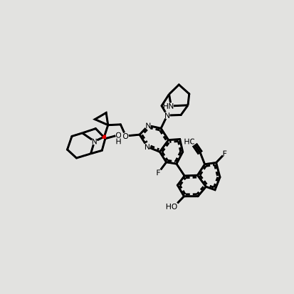 C#Cc1c(F)ccc2cc(O)cc(-c3ccc4c(N5CC6CCC(C5)N6)nc(OCC5(CN6C7CCCC6CC(O)C7)CC5)nc4c3F)c12